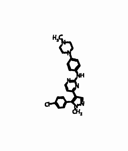 CN1CCN(c2ccc(Nc3nccc(-c4cnn(C)c4-c4ccc(Cl)cc4)n3)cc2)CC1